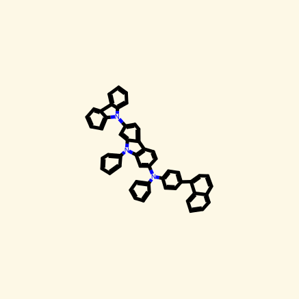 c1ccc(N(c2ccc(-c3cccc4ccccc34)cc2)c2ccc3c4ccc(-n5c6ccccc6c6ccccc65)cc4n(-c4ccccc4)c3c2)cc1